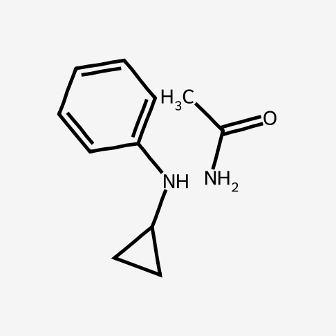 CC(N)=O.c1ccc(NC2CC2)cc1